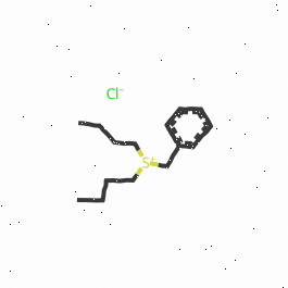 CCCC[S+](CCCC)Cc1ccccc1.[Cl-]